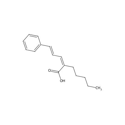 CCCCCC(=CC=Cc1ccccc1)C(=O)O